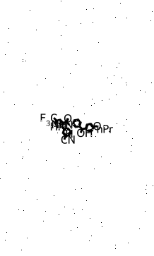 CCCOc1ccc(C(O)c2cccc(NC(=O)/C(=C/C(=N)C(F)(F)F)Nc3cccc(C#N)c3)c2)cc1